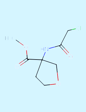 COC(=O)C1(NC(=O)CCl)CCOC1